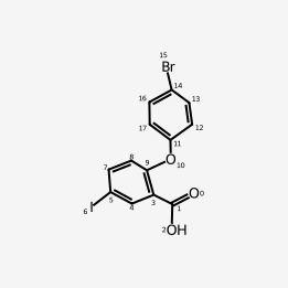 O=C(O)c1cc(I)ccc1Oc1ccc(Br)cc1